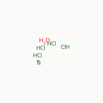 Cl.Cl.Cl.Cl.O.[Ti]